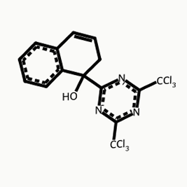 OC1(c2nc(C(Cl)(Cl)Cl)nc(C(Cl)(Cl)Cl)n2)CC=Cc2ccccc21